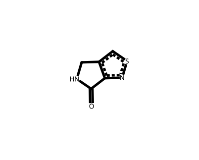 O=C1NCc2csnc21